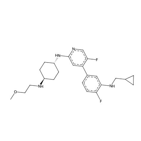 COCCN[C@H]1CC[C@H](Nc2cc(-c3ccc(F)c(NCC4CC4)c3)c(F)cn2)CC1